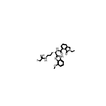 CCN1Cc2cccc(C(=O)N[C@@H](CCCNC(=N)CF)c3nc4c(OC)cccc4[nH]3)c2C1=O